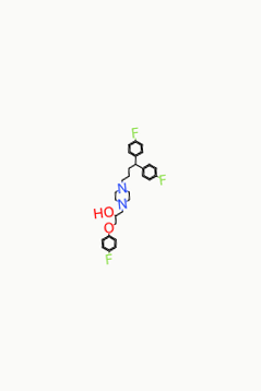 OC(COc1ccc(F)cc1)CN1CCN(CCCC(c2ccc(F)cc2)c2ccc(F)cc2)CC1